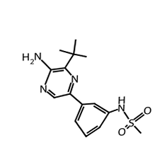 CC(C)(C)c1nc(-c2cccc(NS(C)(=O)=O)c2)cnc1N